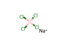 Cl[B-](Cl)(Cl)Cl.[Na+]